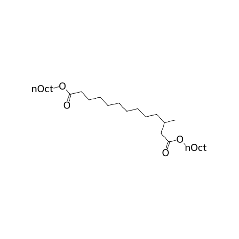 CCCCCCCCOC(=O)CCCCCCCCCC(C)CC(=O)OCCCCCCCC